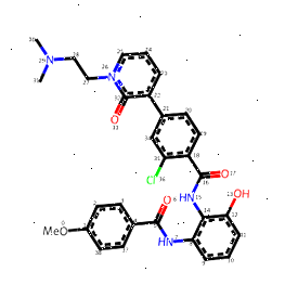 COc1ccc(C(=O)Nc2cccc(O)c2NC(=O)c2ccc(-c3cccn(CCN(C)C)c3=O)cc2Cl)cc1